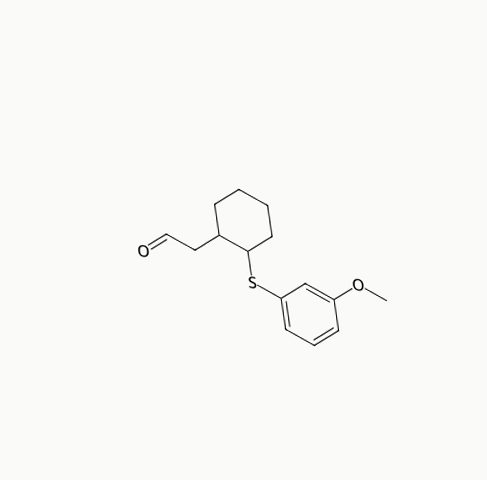 COc1cccc(SC2CCCCC2CC=O)c1